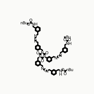 CCCCOC(=O)NCc1cccc(CN=C=NCc2cccc(Cn3c(=O)n(Cc4cccc(CN=C=NCc5cccc(CNOC(=O)CCCC)c5)c4)c(=O)n(-c4cccc(CN=C=NCc5cccc(CNC(=O)OCCCC)c5)c4)c3=O)c2)c1